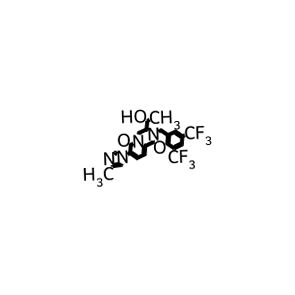 Cc1cn(-c2ccc3n(c2=O)CC(C(C)O)N(Cc2cc(C(F)(F)F)cc(C(F)(F)F)c2)C3=O)cn1